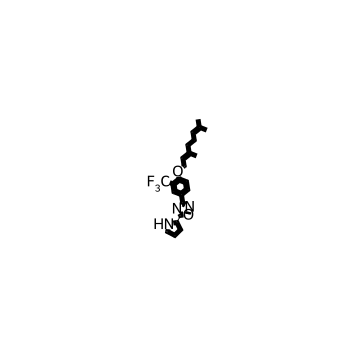 CC(C)=CCC/C(C)=C/COc1ccc(-c2noc([C@@H]3CCCN3)n2)cc1C(F)(F)F